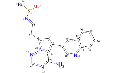 CC(C)(C)[S+]([O-])/N=C/Cc1cc(-c2cnc3ccccc3c2)c2c(N)ncnn12